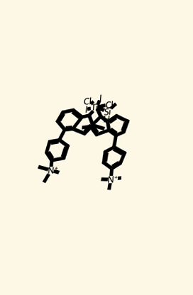 CC1=Cc2c(-c3ccc([N+](C)(C)C)cc3)cccc2[CH]1[Ti]([Cl])([Cl])([I])([I])([CH]1C(C)=Cc2c(-c3ccc([N+](C)(C)C)cc3)cccc21)[SiH](C)C